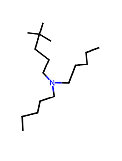 CCCCCN(CCCCC)CCCC(C)(C)C